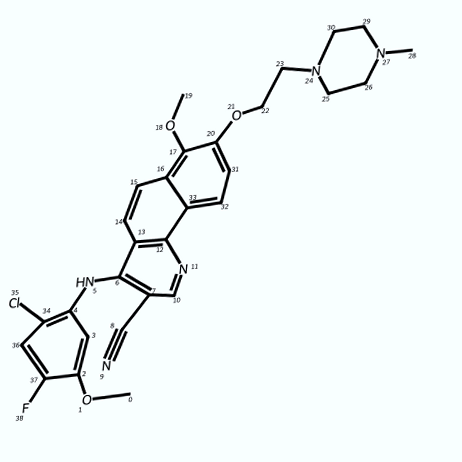 COc1cc(Nc2c(C#N)cnc3c2ccc2c(OC)c(OCCN4CCN(C)CC4)ccc23)c(Cl)cc1F